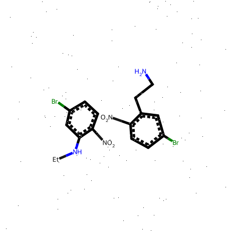 CCNc1cc(Br)ccc1[N+](=O)[O-].NCCc1cc(Br)ccc1[N+](=O)[O-]